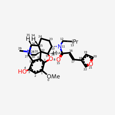 COc1cc(O)c2c3c1O[C@@H]1[C@@H](N(CC(C)C)C(=O)C=Cc4ccoc4)CC[C@H]4[C@@H](C2)N(C)CC[C@]314